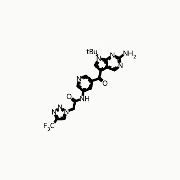 CC(C)(C)n1cc(C(=O)c2cncc(NC(=O)Cn3cc(C(F)(F)F)nn3)c2)c2cnc(N)nc21